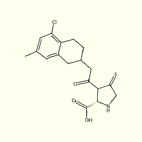 Cc1cc(Cl)c2c(c1)CC(CC(=O)C1C(=S)CN[C@@H]1C(=O)O)CC2